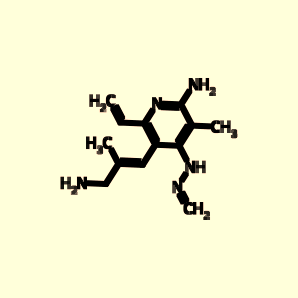 C=Cc1nc(N)c(C)c(NN=C)c1/C=C(\C)CN